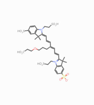 CC1(C)C(/C=C/C=C(/C=C/C=C2/N(CCS(=O)(=O)O)c3ccc(S(=O)(=O)O)cc3C2(C)C)CCCOCCC(=O)O)=[N+](CCS(=O)(=O)O)c2ccc(S(=O)(=O)[O-])cc21